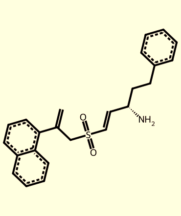 C=C(CS(=O)(=O)/C=C/[C@@H](N)CCc1ccccc1)c1cccc2ccccc12